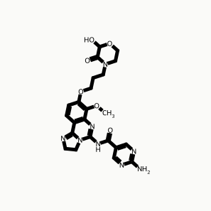 COc1c(OCCCN2CCOC(O)C2=O)ccc2c1N=C(NC(=O)c1cnc(N)nc1)N1CCN=C21